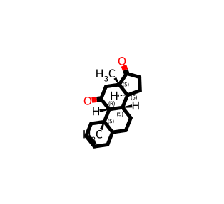 C[C@]12CC=CCC1CC[C@@H]1[C@H]2C(=O)C[C@]2(C)C(=O)CC[C@@H]12